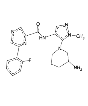 Cn1ncc(NC(=O)c2cncc(-c3ccccc3F)n2)c1N1CCCC(N)C1